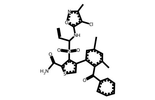 C=CC(Nc1onc(C)c1Cl)S(=O)(=O)c1c(-c2cc(C)cc(C)c2C(=O)c2ccccc2)csc1C(N)=O